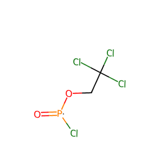 O=[P](Cl)OCC(Cl)(Cl)Cl